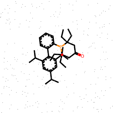 CCC1(CC)CC(=O)CC(CC)(CC)P1c1ccccc1-c1c(C(C)C)cc(C(C)C)cc1C(C)C